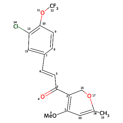 COC1=C(C(=O)C=Cc2ccc(OC(F)(F)F)c(Cl)c2)COC(C)=C1